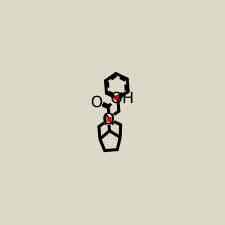 O=C(O)N1CC2CCC(C1)C2OCc1ccccc1